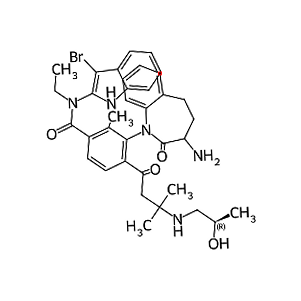 CCN(C(=O)c1ccc(C(=O)CC(C)(C)NC[C@@H](C)O)c(N2C(=O)C(N)CCc3ccccc32)c1C)c1[nH]c2ccccc2c1Br